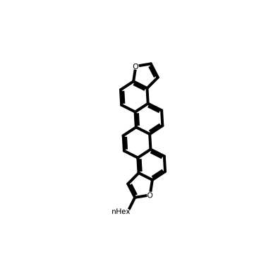 CCCCCCc1cc2c(ccc3c2ccc2c4ccc5occc5c4ccc32)o1